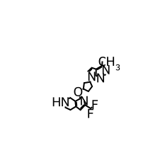 Cc1ncnc2c1ccn2C1CCC(Oc2nc(C(F)F)cc3c2CNCC3)C1